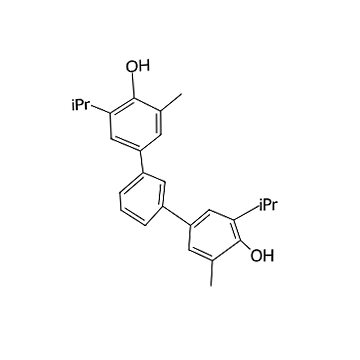 Cc1cc(-c2cccc(-c3cc(C)c(O)c(C(C)C)c3)c2)cc(C(C)C)c1O